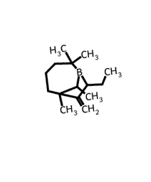 C=C1C(CC)B2C(C)C1(C)CCCC2(C)C